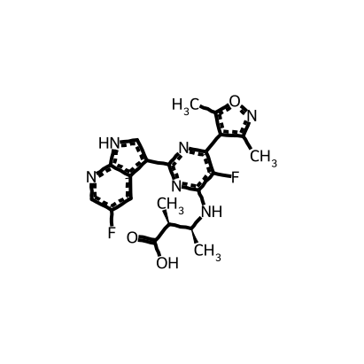 Cc1noc(C)c1-c1nc(-c2c[nH]c3ncc(F)cc23)nc(N[C@@H](C)[C@H](C)C(=O)O)c1F